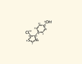 Oc1ccc(-c2ncsc2Cl)cc1